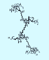 C=CCNc1nc(N=CCCCCC=Nc2nc(NCC=C)nc(NCCCCCCNC3CC(C)(C)NC(C)(C)C3)n2)nc(NCCCCCCNC2CC(C)(C)NC(C)(C)C2)n1